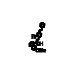 CC[C@H]1CN(CCc2ccccc2)CC[C@H]1CC[C@@H](O)c1ccnc2ccc(OC)cc12